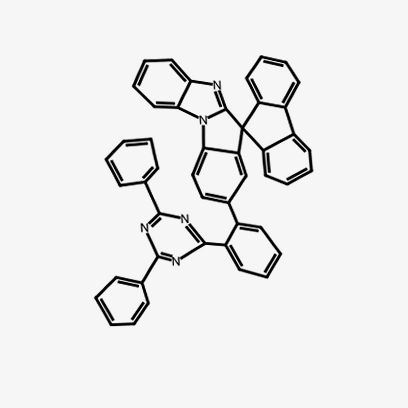 c1ccc(-c2nc(-c3ccccc3)nc(-c3ccccc3-c3ccc4c(c3)C3(c5ccccc5-c5ccccc53)c3nc5ccccc5n3-4)n2)cc1